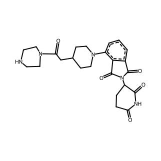 O=C1CCC(N2C(=O)c3cccc(N4CCC(CC(=O)N5CCNCC5)CC4)c3C2=O)C(=O)N1